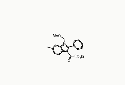 CCOC(=O)C(=O)c1c(-c2ccccc2)n(COC)c2cc(C)ccc12